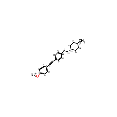 CCOc1ccc(C#Cc2ccc(CC[C@H]3CC[C@H](C)CC3)cc2)cc1